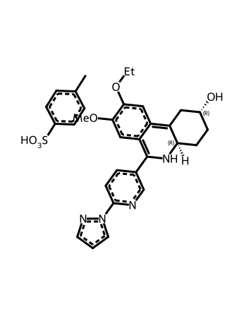 CCOc1cc2c(cc1OC)=C(c1ccc(-n3cccn3)nc1)N[C@@H]1CC[C@@H](O)CC=21.Cc1ccc(S(=O)(=O)O)cc1